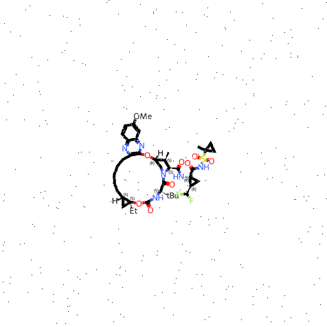 CC[C@]12C[C@@H]1CCCCCc1nc3ccc(OC)cc3nc1O[C@H]1CN(C(=O)[C@H](C(C)(C)C)NC(=O)O2)[C@H](C(=O)N[C@]2(C(=O)NS(=O)(=O)C3(C)CC3)C[C@H]2C(F)F)[C@@H]1C